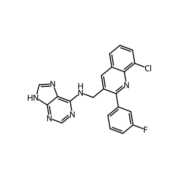 Fc1cccc(-c2nc3c(Cl)cccc3cc2CNc2ncnc3[nH]cnc23)c1